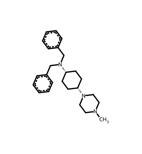 CN1CCN([C@H]2CC[C@@H](N(Cc3ccccc3)Cc3ccccc3)CC2)CC1